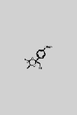 COc1ccc(C2(CBr)OC(C)[C@@H](C)O2)cc1